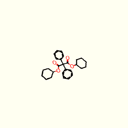 O=C(OC1CCCCC1)C(C(=O)OC1CCCCC1)(c1ccccc1)c1ccccc1